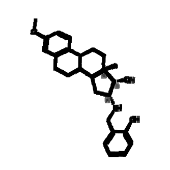 COc1ccc2c(c1)CCC1C2CC[C@@]2(C)C1C[C@@H](NCc1ccccc1O)[C@H]2O